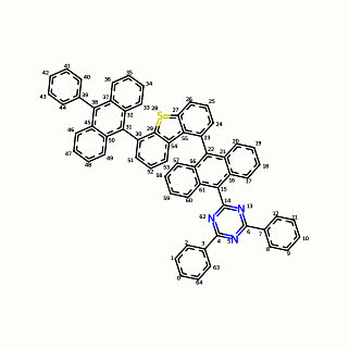 c1ccc(-c2nc(-c3ccccc3)nc(-c3c4ccccc4c(-c4cccc5sc6c(-c7c8ccccc8c(-c8ccccc8)c8ccccc78)cccc6c45)c4ccccc34)n2)cc1